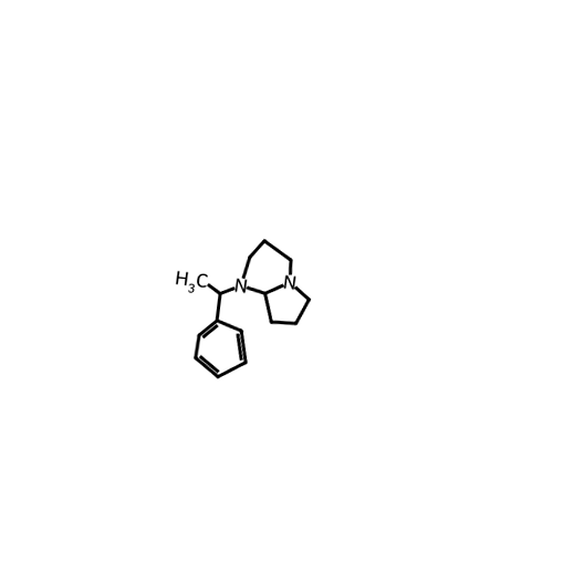 CC(c1ccccc1)N1CCCN2CCCC21